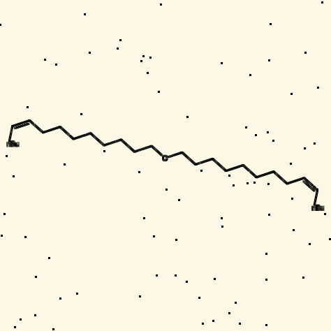 CCCC/C=C\CCCCCCCCOCCCCCCCC/C=C\CCCC